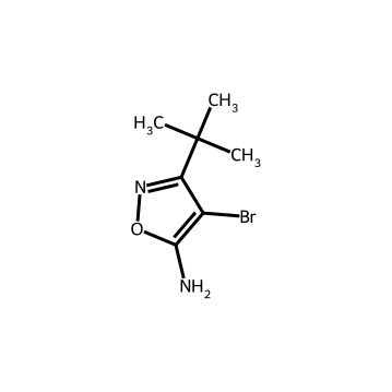 CC(C)(C)c1noc(N)c1Br